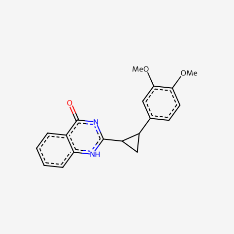 COc1ccc(C2CC2c2nc(=O)c3ccccc3[nH]2)cc1OC